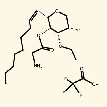 CCCCCCC/C=C\[C@@H]1OC[C@H](C)[C@H](OCC)[C@@H]1OC(=O)CN.O=C(O)C(F)(F)F